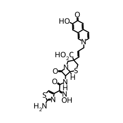 Nc1nc(C(=NO)C(=O)NC2C(=O)N3CC(C=CCn4ccc5cc(=O)c(O)cc-5c4)(C(=O)O)CS[C@H]23)cs1